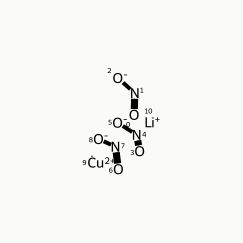 O=N[O-].O=N[O-].O=N[O-].[Cu+2].[Li+]